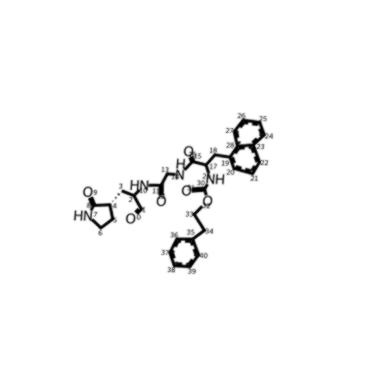 O=CC(C[C@@H]1CCNC1=O)NC(=O)CNC(=O)C(Cc1cccc2ccccc12)NC(=O)OCCc1ccccc1